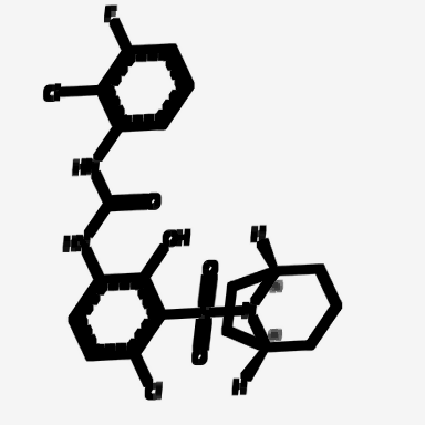 O=C(Nc1ccc(Cl)c(S(=O)(=O)N2[C@@H]3CCC[C@H]2CC3)c1O)Nc1cccc(F)c1Cl